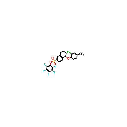 O=S(=O)(Oc1c(F)c(F)c(F)c(F)c1F)c1ccc2c(c1)CCC[C@H]2Oc1ccc(C(F)(F)F)cc1Cl